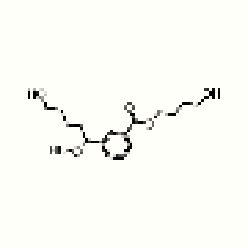 O=C(OCCCCO)c1cccc(C(CCCCO)OO)c1